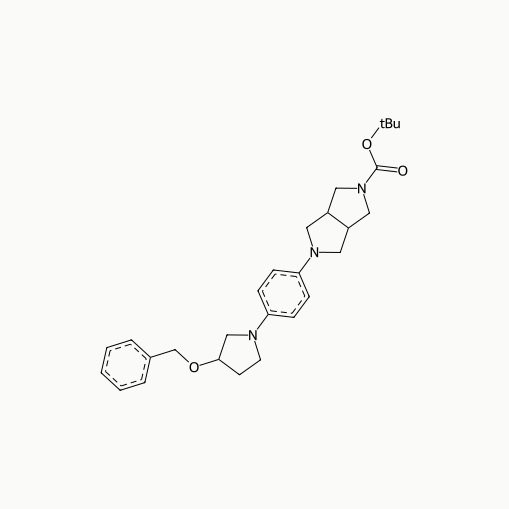 CC(C)(C)OC(=O)N1CC2CN(c3ccc(N4CCC(OCc5ccccc5)C4)cc3)CC2C1